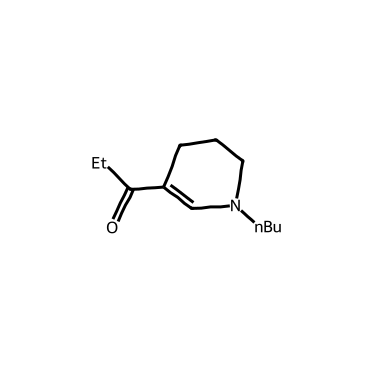 CCCCN1C=C(C(=O)CC)CCC1